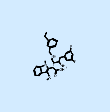 CCc1cccc(CNCC(C(N)Cc2cc(F)cc(F)c2)[C@H](C(=O)O)c2c(SC)c3ccccc3n2C)c1